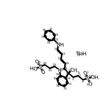 CC1(CCCS(=O)(=O)O)C(/C=C/C=C/Nc2ccccc2)=[N+](CCCS(=O)(=O)O)c2ccccc21.[NaH]